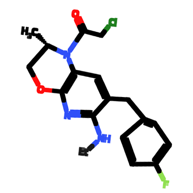 CCNc1nc2c(cc1Cc1ccc(F)cc1)N(C(=O)CCl)[C@@H](C)CO2